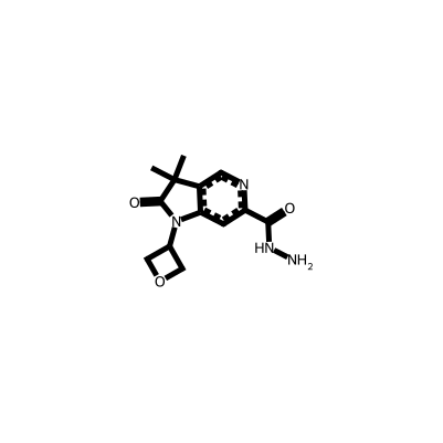 CC1(C)C(=O)N(C2COC2)c2cc(C(=O)NN)ncc21